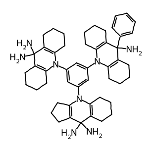 NC1(N)C2=C(CCCC2)N(c2cc(N3C4=C(CCCC4)C(N)(N)C4=C3CCC4)cc(N3C4=C(CCCC4)C(N)(c4ccccc4)C4=C3CCCC4)c2)C2=C1CCCC2